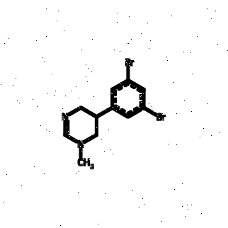 CN1C=NCC(c2cc(Br)cc(Br)c2)C1